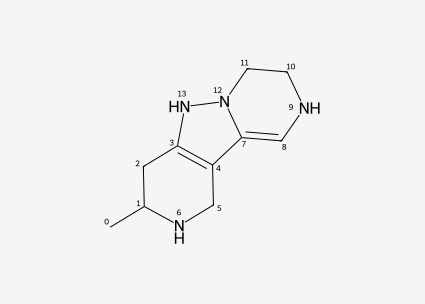 CC1CC2=C(CN1)C1=CNCCN1N2